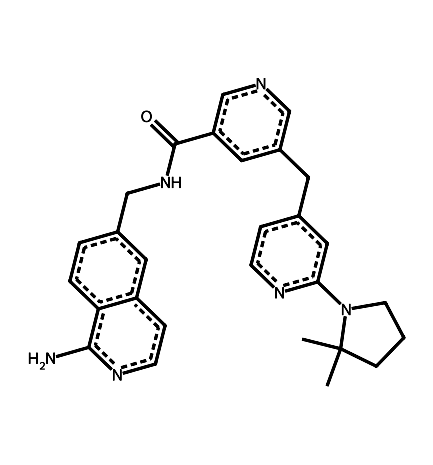 CC1(C)CCCN1c1cc(Cc2cncc(C(=O)NCc3ccc4c(N)nccc4c3)c2)ccn1